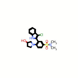 CN(C)S(=O)(=O)c1ccc(N2CCC(O)C2)c(-c2[nH]c3ccccc3c2Cl)c1